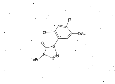 CCCn1nnn(-c2cc(OC(C)=O)c(Cl)cc2Cl)c1=O